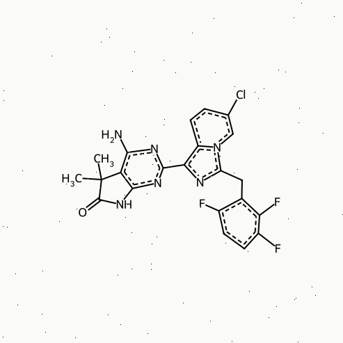 CC1(C)C(=O)Nc2nc(-c3nc(Cc4c(F)ccc(F)c4F)n4cc(Cl)ccc34)nc(N)c21